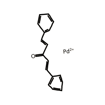 O=C(C=Cc1ccccc1)C=Cc1ccccc1.[Pd+2]